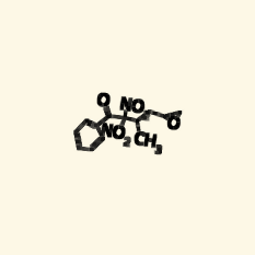 CC(CC1CO1)C(C(=O)c1ccccc1)([N+](=O)[O-])[N+](=O)[O-]